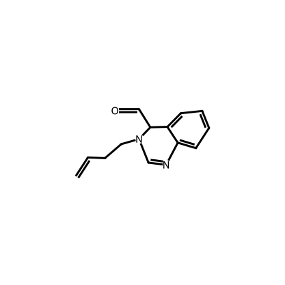 C=CCCN1C=Nc2ccccc2C1C=O